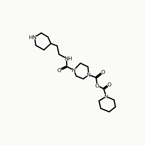 O=C(NCCC1CCNCC1)N1CCN(C(=O)OC(=O)N2CCCCC2)CC1